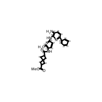 COC(=O)C1CC2(CC(C(=O)Nc3ccc(Nc4nc(-c5ccccc5)ccc4N)nc3C)C2)C1